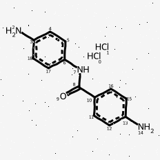 Cl.Cl.Nc1ccc(NC(=O)c2ccc(N)cc2)cc1